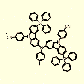 [C-]#[N+]c1ccc(-n2c3ccc(N(c4ccc(C)cc4)c4ccc5c(c4)c4cc([Si](c6ccccc6)(c6ccccc6)c6ccccc6)ccc4n5-c4ccc(C#N)cc4)cc3c3cc([Si](c4ccccc4)(c4ccccc4)c4ccccc4)ccc32)cc1